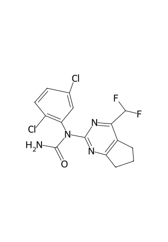 NC(=O)N(c1nc2c(c(C(F)F)n1)CCC2)c1cc(Cl)ccc1Cl